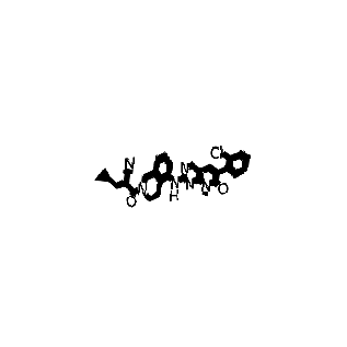 Cn1c(=O)c(-c2ccccc2Cl)cc2cnc(Nc3cccc4c3CCN(C(=O)/C(C#N)=C/C3CC3)C4)nc21